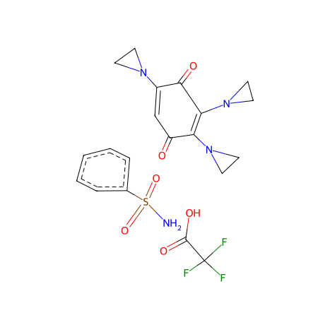 NS(=O)(=O)c1ccccc1.O=C(O)C(F)(F)F.O=C1C=C(N2CC2)C(=O)C(N2CC2)=C1N1CC1